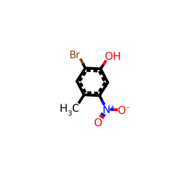 Cc1cc(Br)c(O)cc1[N+](=O)[O-]